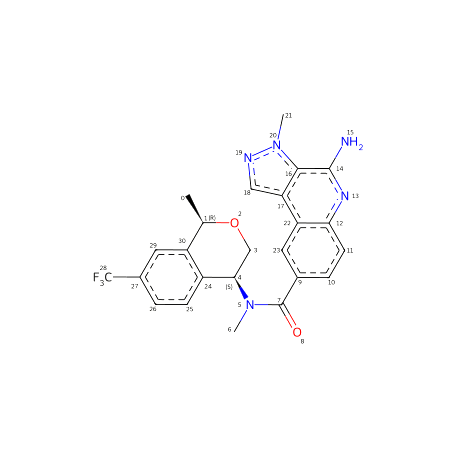 C[C@H]1OC[C@@H](N(C)C(=O)c2ccc3nc(N)c4c(cnn4C)c3c2)c2ccc(C(F)(F)F)cc21